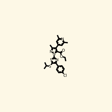 CCOC(=O)c1c(-c2cc(C)nc(C)c2)c(C)nn1-c1nc(-c2ccc(Cl)cc2)c(SC(C)C)s1